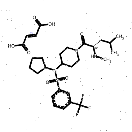 CN[C@@H](CC(C)C)C(=O)N1CCC(N(C2CCCC2)S(=O)(=O)c2cccc(C(F)(F)F)c2)CC1.O=C(O)/C=C/C(=O)O